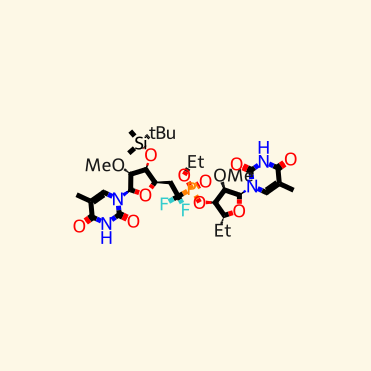 CCOP(=O)(O[C@H]1[C@@H](OC)[C@H](n2cc(C)c(=O)[nH]c2=O)O[C@@H]1CC)C(F)(F)C[C@H]1O[C@@H](n2cc(C)c(=O)[nH]c2=O)[C@H](OC)[C@@H]1O[Si](C)(C)C(C)(C)C